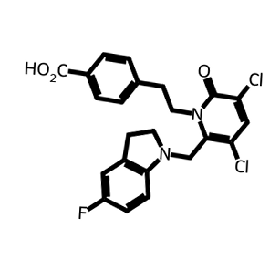 O=C(O)c1ccc(CCn2c(CN3CCc4cc(F)ccc43)c(Cl)cc(Cl)c2=O)cc1